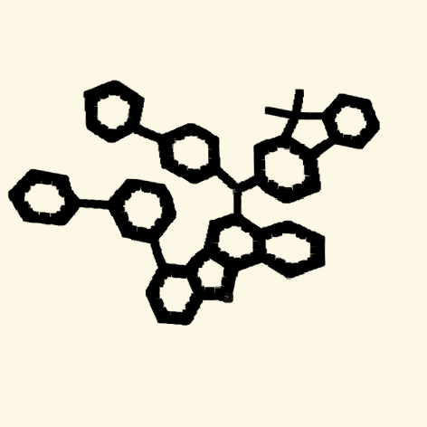 CC1(C)c2ccccc2-c2ccc(N(c3ccc(-c4ccccc4)cc3)c3cc4c(oc5cccc(-c6cccc(-c7ccccc7)c6)c54)c4ccccc34)cc21